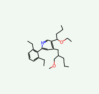 CCCC(COC)Cc1cc(-c2c(CC)cccc2CC)ncc1C(CCC)OCC